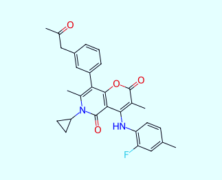 CC(=O)Cc1cccc(-c2c(C)n(C3CC3)c(=O)c3c(Nc4ccc(C)cc4F)c(C)c(=O)oc23)c1